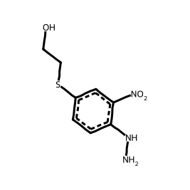 NNc1ccc(SCCO)cc1[N+](=O)[O-]